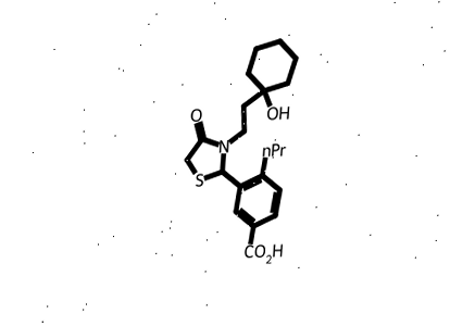 CCCc1ccc(C(=O)O)cc1C1SCC(=O)N1CCC1(O)CCCCC1